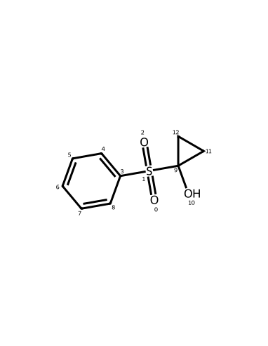 O=S(=O)(c1ccccc1)C1(O)CC1